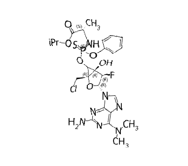 CC(C)OC(=O)[C@H](C)N[P@@](=S)(Oc1ccccc1)OC1[C@@]2(CCl)O[C@@H](n3cnc4c(N(C)C)nc(N)nc43)[C@H](F)[C@@]12O